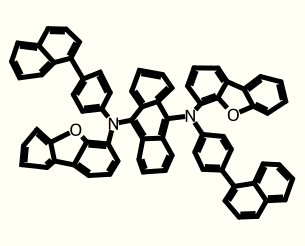 c1ccc2c(-c3ccc(N(c4c5ccccc5c(N(c5ccc(-c6cccc7ccccc67)cc5)c5cccc6c5oc5ccccc56)c5ccccc45)c4cccc5c4oc4ccccc45)cc3)cccc2c1